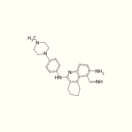 CN1CCN(c2ccc(Nc3nc4ccc(N)c(C=N)c4c4c3CCCC4)cc2)CC1